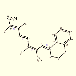 CC(/C=C/C(F)=C(\C=C1/CCCc2ccccc21)C(F)(F)F)=C(/C)C(=O)O